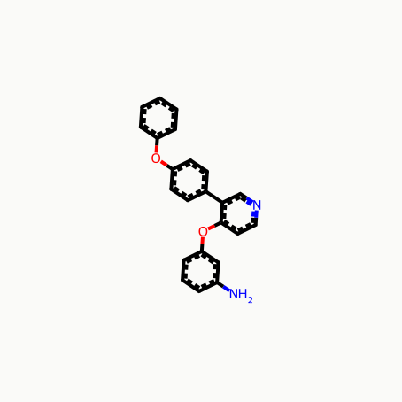 Nc1cccc(Oc2ccncc2-c2ccc(Oc3ccccc3)cc2)c1